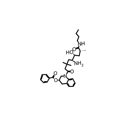 CCCCNC(=O)[C@H](C)C[C@H](O)[C@@H](N)CC(C)(C)CC(=O)N1C[C@H](OC(=O)c2ccccc2)Cc2ccccc21